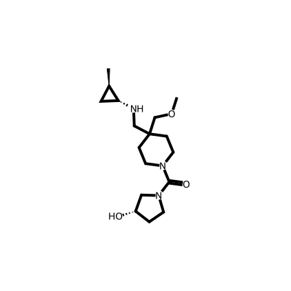 COCC1(CN[C@@H]2C[C@H]2C)CCN(C(=O)N2CC[C@H](O)C2)CC1